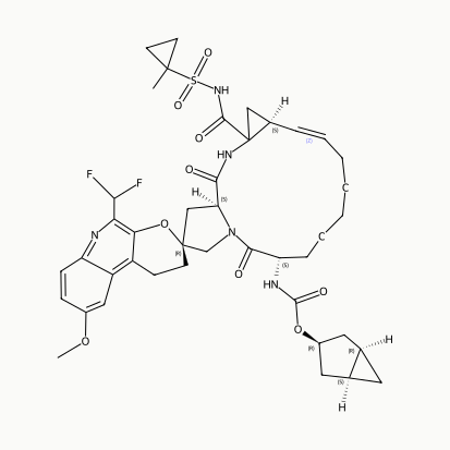 COc1ccc2nc(C(F)F)c3c(c2c1)CC[C@]1(C[C@H]2C(=O)NC4(C(=O)NS(=O)(=O)C5(C)CC5)C[C@H]4/C=C\CCCCC[C@H](NC(=O)O[C@@H]4C[C@@H]5C[C@@H]5C4)C(=O)N2C1)O3